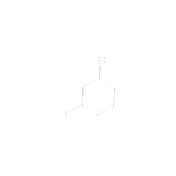 CCC1=CC=CC(I)C1